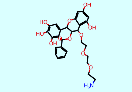 NCCOCCOCCOC1c2c(O)cc(O)cc2OC(c2cc(O)c(O)c(O)c2)C1OC(=O)c1ccccc1